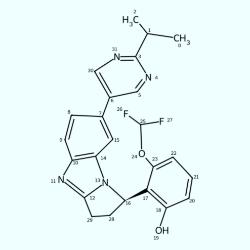 CC(C)c1ncc(-c2ccc3nc4n(c3c2)[C@@H](c2c(O)cccc2OC(F)F)CC4)cn1